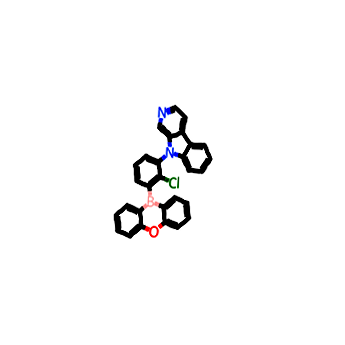 Clc1c(B2c3ccccc3Oc3ccccc32)cccc1-n1c2ccccc2c2ccncc21